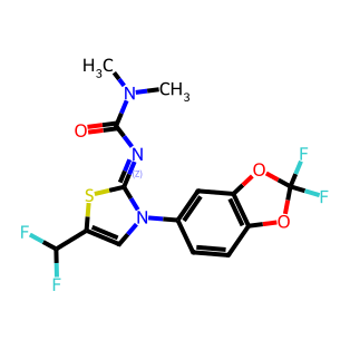 CN(C)C(=O)/N=c1\sc(C(F)F)cn1-c1ccc2c(c1)OC(F)(F)O2